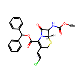 CC(C)(C)OC(=O)NC1C(=O)N2C(C(=O)OC(c3ccccc3)c3ccccc3)=C(/C=C/Cl)CS[C@@H]12